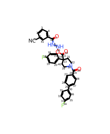 N#Cc1cccc(C(=O)NNOC(=O)C2(c3ccc(F)cc3)CCN(C(=O)c3ccc(-c4ccc(F)cc4)cc3)CC2)c1